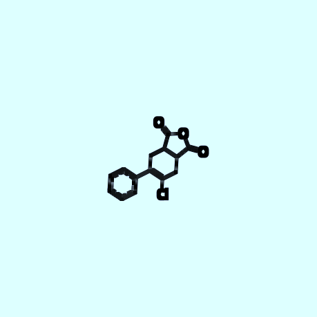 O=C1OC(=O)C2CC(c3ccccc3)=C(Cl)CC12